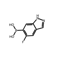 OB(O)c1cc2[nH]ncc2cc1F